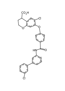 O=C(Nc1cc(-c2cccc(Cl)c2)ccn1)c1ccc(Oc2cc3c(cc2Cl)C(C(=O)O)CCO3)cc1